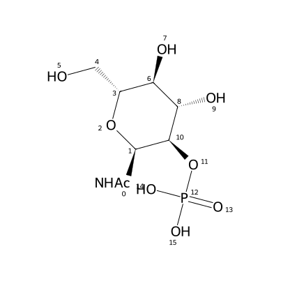 CC(=O)N[C@H]1O[C@H](CO)[C@@H](O)[C@H](O)[C@H]1OP(=O)(O)O